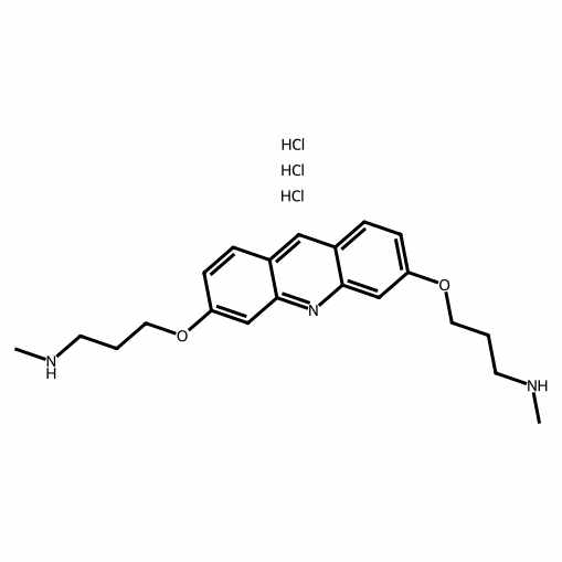 CNCCCOc1ccc2cc3ccc(OCCCNC)cc3nc2c1.Cl.Cl.Cl